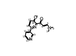 CN(C)/C=C/C(=O)c1nn(-c2cccnc2)ccc1=O